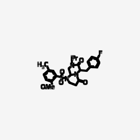 COc1ccc(C)cc1S(=O)(=O)N1CCC(=O)N2C(Cc3ccc(F)cc3)C(=O)N(C(C)C)CC21